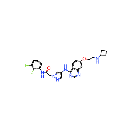 O=C(Cn1cc(Nc2ncnc3cc(OCCNC4CCC4)ccc23)cn1)Nc1cccc(F)c1F